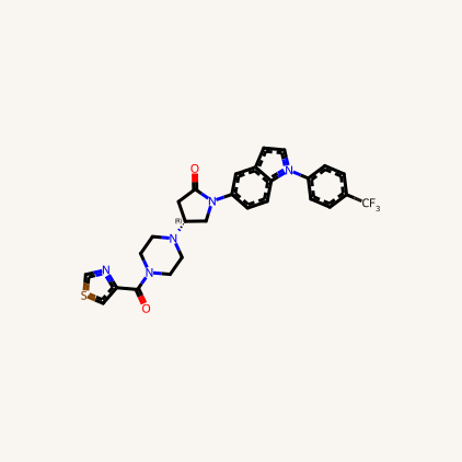 O=C(c1cscn1)N1CCN([C@@H]2CC(=O)N(c3ccc4c(ccn4-c4ccc(C(F)(F)F)cc4)c3)C2)CC1